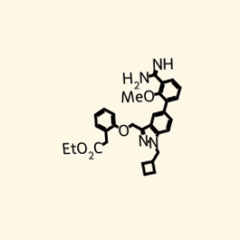 CCOC(=O)Cc1ccccc1OCc1nn(CC2CCC2)c2ccc(-c3cccc(C(=N)N)c3OC)cc12